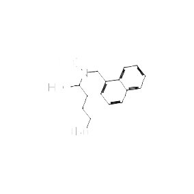 CC(CCCC(C)(C)C)N(C)Cc1cccc2ccccc12